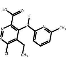 CCc1c(Cl)nnc(C(=O)O)c1N(F)c1cccc(C)n1